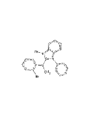 CC(C)c1ccccc1N(C)c1n(-c2ccccc2)c2ccccc2[n+]1C(C)C